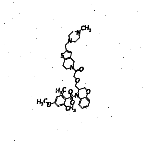 COc1cc(C)c(S(=O)(=O)N2c3ccccc3OCC2COCC(=O)N2CCc3sc(CN4CCN(C)CC4)cc3C2)c(C)c1